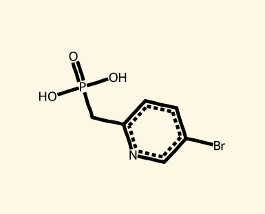 O=P(O)(O)Cc1ccc(Br)cn1